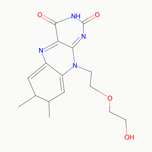 CC1C=c2nc3c(=O)[nH]c(=O)nc-3n(CCOCCO)c2=CC1C